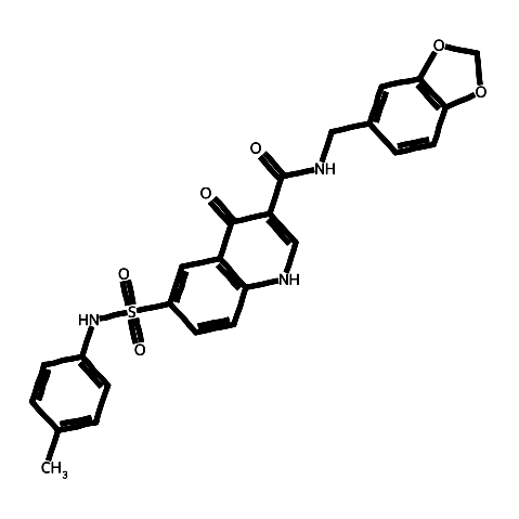 Cc1ccc(NS(=O)(=O)c2ccc3[nH]cc(C(=O)NCc4ccc5c(c4)OCO5)c(=O)c3c2)cc1